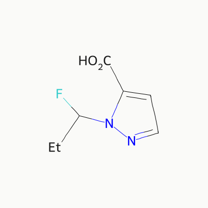 CCC(F)n1nccc1C(=O)O